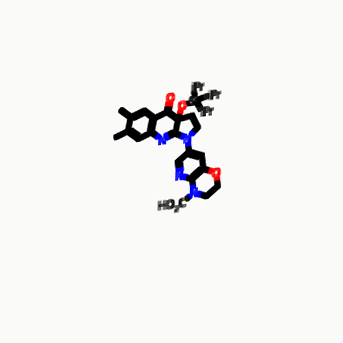 Cc1cc2c(cc1C)C(=O)C1(O[Si](C(C)C)(C(C)C)C(C)C)CCN(c3cnc4c(c3)OCCN4C(=O)O)C1=N2